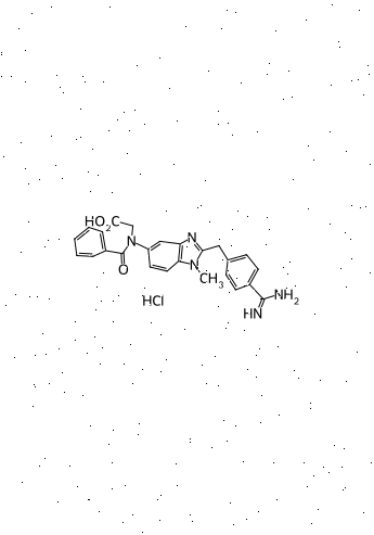 Cl.Cn1c(Cc2ccc(C(=N)N)cc2)nc2cc(N(CC(=O)O)C(=O)c3ccccc3)ccc21